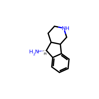 N[C@H]1c2ccccc2C2CNCCC21